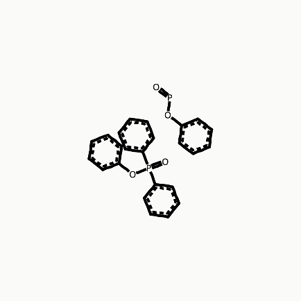 O=P(Oc1ccccc1)(c1ccccc1)c1ccccc1.O=POc1ccccc1